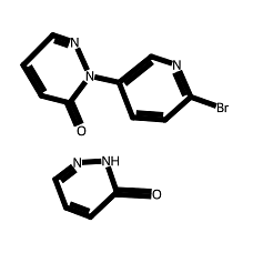 O=c1cccn[nH]1.O=c1cccnn1-c1ccc(Br)nc1